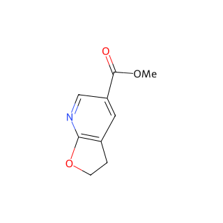 COC(=O)c1cnc2c(c1)CCO2